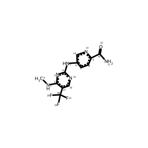 CNc1nc(Nc2ccc(C(N)=O)nc2)ncc1C(F)(F)F